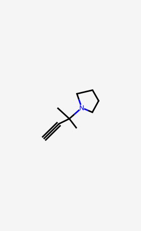 C#CC(C)(C)N1CCCC1